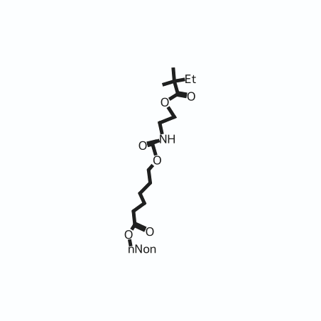 CCCCCCCCCOC(=O)CCCCCOC(=O)NCCOC(=O)C(C)(C)CC